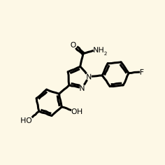 NC(=O)c1cc(-c2ccc(O)cc2O)nn1-c1ccc(F)cc1